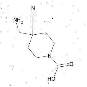 N#CC1(CN)CCN(C(=O)O)CC1